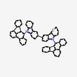 c1ccc2c(c1)-c1cccc3c1c-2c(-n1c2ccccc2c2cc(-c4ccc5c(c4)c4ccccc4n5-c4c5c6c(cccc6c6ccccc46)-c4ccccc4-5)ccc21)c1ccccc13